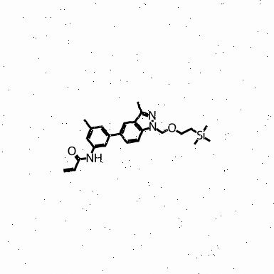 C=CC(=O)Nc1cc(C)cc(-c2ccc3c(c2)c(C)nn3COCC[Si](C)(C)C)c1